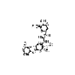 CCNCC.Cc1ccc(NC(=O)Nc2ccc(Oc3cc(Cl)ncn3)cc2)cc1C(F)(F)F